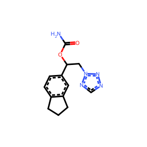 NC(=O)OC(Cn1ncnn1)c1ccc2c(c1)CCC2